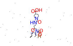 C=C/C=C1/OC(CCNC(=O)N2CCC(C(=O)O)CC2)CN([SH](=O)=O)/C1=C/C